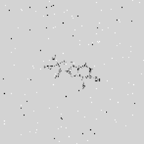 CCC(Br)(C(=O)O)C(=O)c1cc2c(Br)c(O)ccc2o1